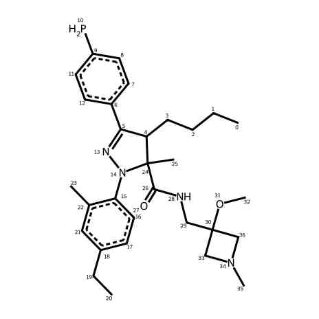 CCCCC1C(c2ccc(P)cc2)=NN(c2ccc(CC)cc2C)C1(C)C(=O)NCC1(OC)CN(C)C1